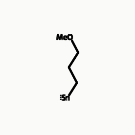 COCC[CH2][Sn]